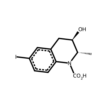 C[C@H]1[C@H](O)Cc2cc(I)ccc2N1C(=O)O